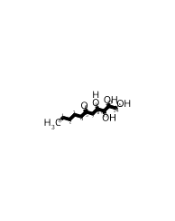 CCCCCC(=O)CC(O)C(O)C(O)CO